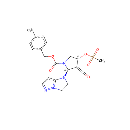 CS(=O)(=O)O[C@H]1CN(C(=O)OCc2ccc([N+](=O)[O-])cc2)[C@H](N2CCn3nccc32)C1=C=O